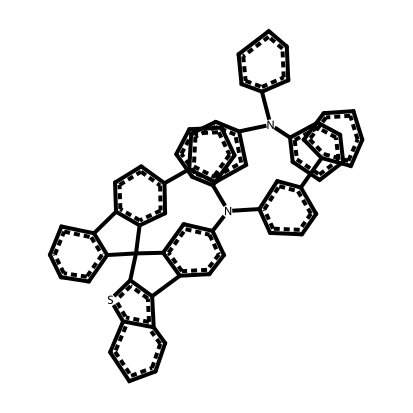 c1ccc(-c2cccc(N(c3ccccc3)c3ccc4c(c3)C3(c5ccccc5-c5ccc(-c6ccc(N(c7ccccc7)c7ccccc7)cc6)cc53)c3sc5ccccc5c3-4)c2)cc1